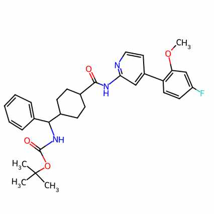 COc1cc(F)ccc1-c1ccnc(NC(=O)C2CCC(C(NC(=O)OC(C)(C)C)c3ccccc3)CC2)c1